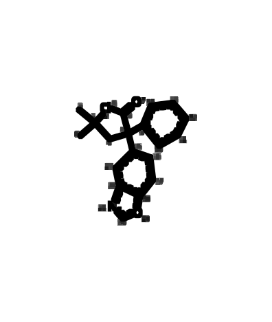 CC(C)(C)CC(C(=O)Cl)(c1ccccc1)c1ccc2ocnc2c1